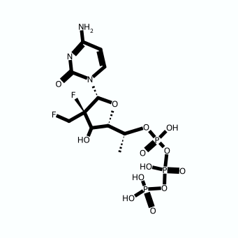 C[C@@H](OP(=O)(O)OP(=O)(O)OP(=O)(O)O)[C@H]1O[C@@H](n2ccc(N)nc2=O)[C@@](F)(CF)C1O